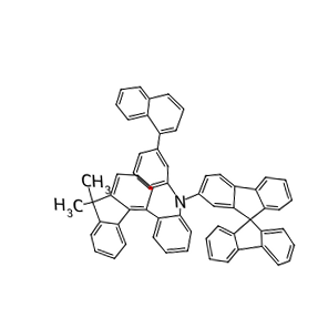 CC1(C)c2ccccc2-c2c(-c3ccccc3N(c3cccc(-c4cccc5ccccc45)c3)c3ccc4c(c3)C3(c5ccccc5-c5ccccc53)c3ccccc3-4)cccc21